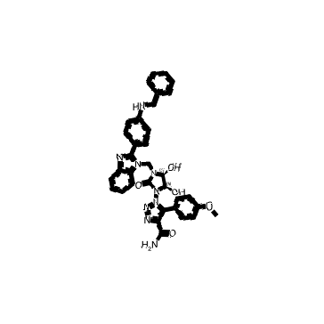 COc1ccc(-c2c(C(N)=O)nnn2N2C(=O)N(Cn3c(-c4ccc(NCc5ccccc5)cc4)nc4ccccc43)[C@@H](O)[C@H]2O)cc1